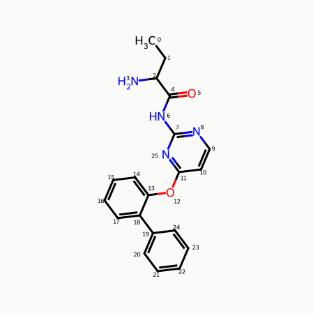 CCC(N)C(=O)Nc1nccc(Oc2ccccc2-c2ccccc2)n1